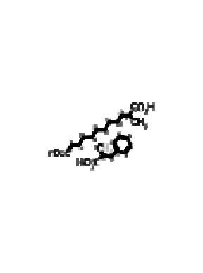 C/C(=C\c1ccccc1)C(=O)O.CCCCCCCCCCCCCCCCCC/C=C(\C)C(=O)O